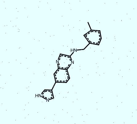 Cc1cccc(CNc2cnc3cc(-c4cn[nH]c4)ccc3n2)c1